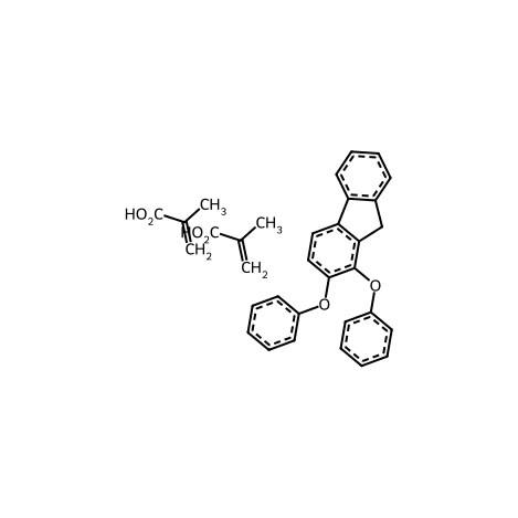 C=C(C)C(=O)O.C=C(C)C(=O)O.c1ccc(Oc2ccc3c(c2Oc2ccccc2)Cc2ccccc2-3)cc1